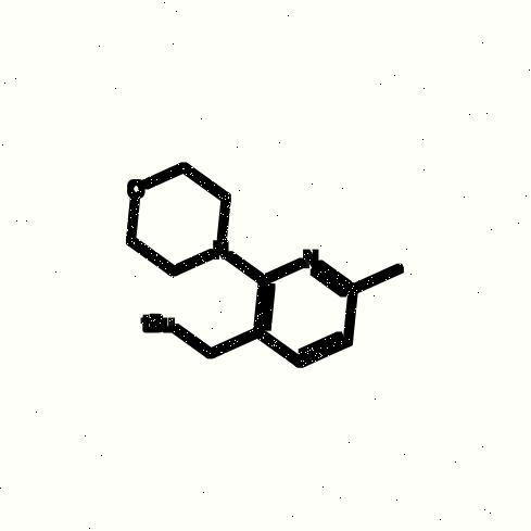 Cc1ccc(CC(C)(C)C)c(N2CCOCC2)n1